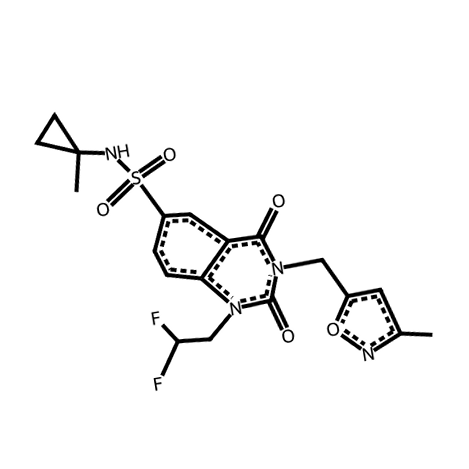 Cc1cc(Cn2c(=O)c3cc(S(=O)(=O)NC4(C)CC4)ccc3n(CC(F)F)c2=O)on1